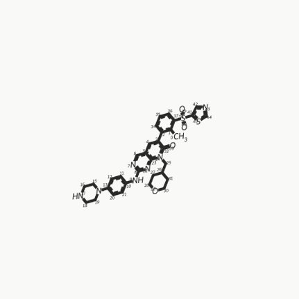 Cc1c(-c2cc3cnc(Nc4ccc(N5CCNCC5)cc4)nc3n(CC3CCOCC3)c2=O)cccc1S(=O)(=O)c1cncs1